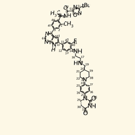 Cc1cc(-c2ncnc3[nH]c(-c4ccc(NCCNCC5CCN(c6ccc(N7CCC(=O)NC7=O)cc6)CC5)c(F)c4)cc23)ccc1[C@@H](C)NC(=O)c1nc(C(C)(C)C)no1